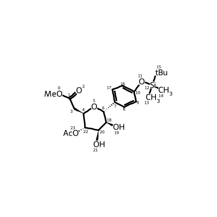 COC(=O)C[C@H]1O[C@H](c2ccc(O[Si](C)(C)C(C)(C)C)cc2)[C@@H](O)[C@@H](O)[C@@H]1OC(C)=O